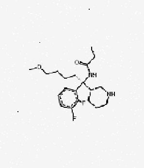 CCC(=O)N[C@](CCCCOC)(c1cccc(F)c1F)[C@@H]1CCCNC1